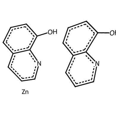 Oc1cccc2cccnc12.Oc1cccc2cccnc12.[Zn]